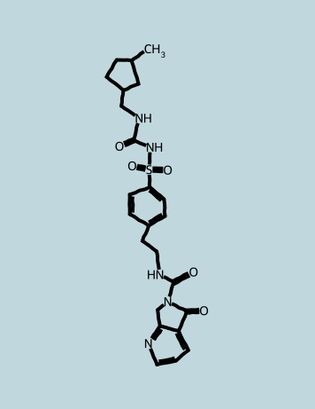 CC1CCC(CNC(=O)NS(=O)(=O)c2ccc(CCNC(=O)N3Cc4ncccc4C3=O)cc2)C1